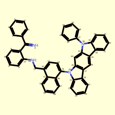 N=C(c1ccccc1)c1ccccc1NCc1ccc(-n2c3ccccc3c3cc4c5ccccc5n(-c5ccccc5)c4cc32)c2ccccc12